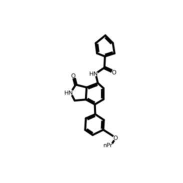 CCCOc1cccc(-c2ccc(NC(=O)c3ccccc3)c3c2CNC3=O)c1